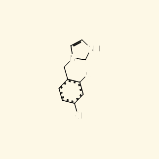 Clc1ccc(CN2C=CNC2)c(Cl)c1